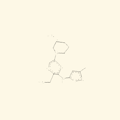 Cc1cc(Nc2nc(N3CCC[C@@H](N)C3)cnc2CN)sn1